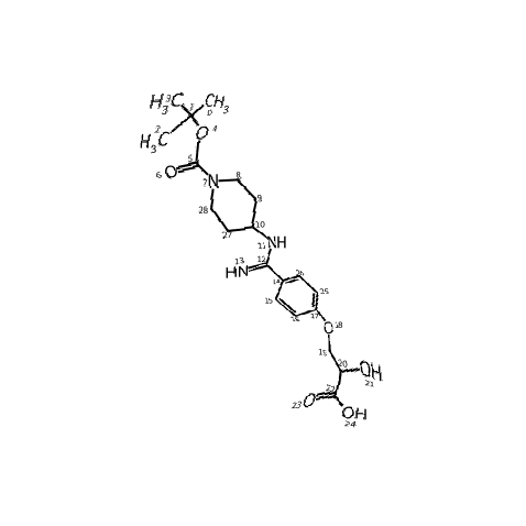 CC(C)(C)OC(=O)N1CCC(NC(=N)c2ccc(OCC(O)C(=O)O)cc2)CC1